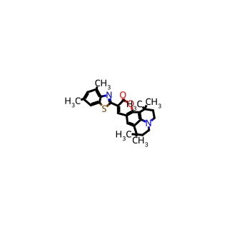 Cc1cc(C)c2nc(-c3cc4cc5c6c(c4oc3=O)C(C)(C)CCN6CCC5(C)C)sc2c1